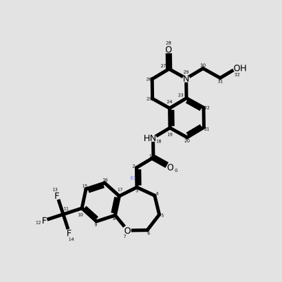 O=C(/C=C1\CCCOc2cc(C(F)(F)F)ccc21)Nc1cccc2c1CCC(=O)N2CCO